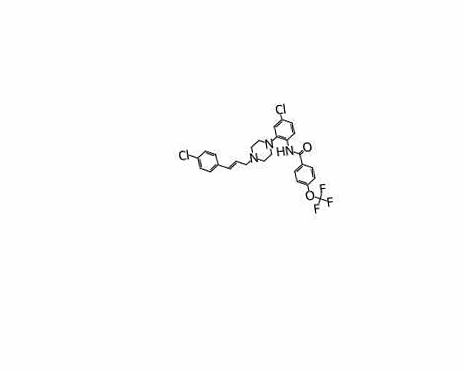 O=C(Nc1ccc(Cl)cc1N1CCN(CC=Cc2ccc(Cl)cc2)CC1)c1ccc(OC(F)(F)F)cc1